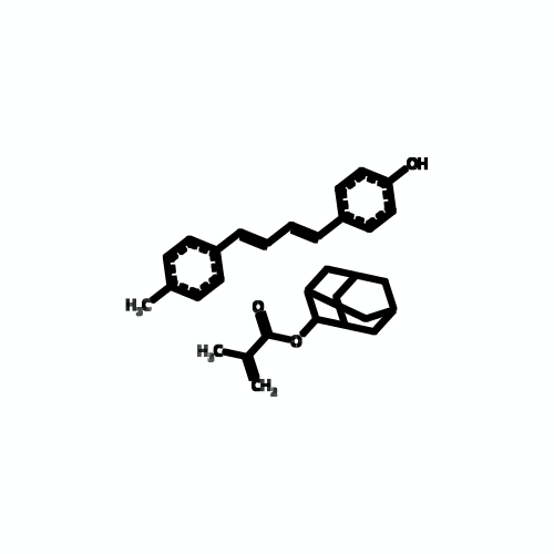 C=C(C)C(=O)OC1C2CC3CC(C2)CC1C3.Cc1ccc(C=CC=Cc2ccc(O)cc2)cc1